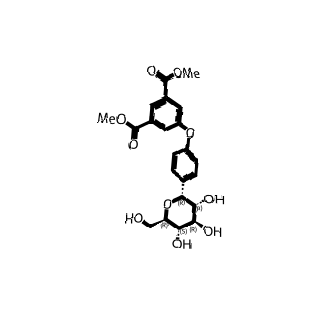 COC(=O)c1cc(Oc2ccc([C@H]3O[C@H](CO)[C@@H](O)[C@H](O)[C@H]3O)cc2)cc(C(=O)OC)c1